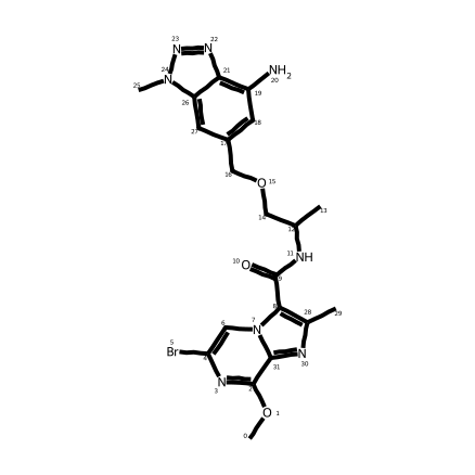 COc1nc(Br)cn2c(C(=O)NC(C)COCc3cc(N)c4nnn(C)c4c3)c(C)nc12